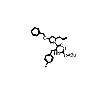 C=CCC1CC(OCc2ccccc2)CN1C(=O)C(Cc1ccc(F)cc1)NC(=O)OC(C)(C)C